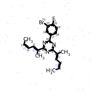 C/C=C\C=C(/C)c1nc(/C(C)=C/C=C\C)nc(-c2ccc(F)c(Br)c2)n1